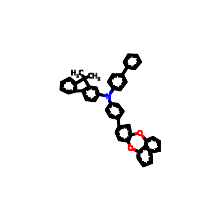 CC1(C)c2ccccc2-c2ccc(N(c3ccc(-c4ccccc4)cc3)c3ccc(-c4ccc5c(c4)Oc4cccc6cccc(c46)O5)cc3)cc21